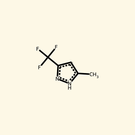 Cc1[c]c(C(F)(F)F)n[nH]1